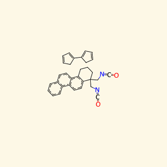 C1=CCC(C2=CC=CC2)=C1.O=C=NCC1(CN=C=O)CCCc2c1ccc1c2ccc2ccccc21